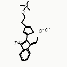 CC=C1C(C2=CC(CCO[Si](C)(C)C)=CC2)=[C]([Zr+2])c2ccccc21.[Cl-].[Cl-]